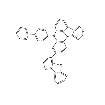 CC12c3ccccc3-c3cccc(c31)N(c1ccc(-c3ccccc3)cc1)c1cc(-c3cccc4c3oc3ccccc34)ccc12